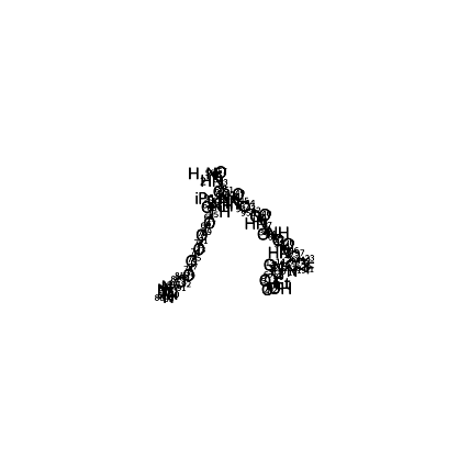 CC[C@@]1(O)C(=O)OCc2c1cc1n(c2=O)Cc2c-1nc1cc(F)c(C)c3c1c2[C@@H](NC(=O)COCNC(=O)CNC(=O)OCc1ccc(NC(=O)[C@H](CCCNC(N)=O)NC(=O)[C@@H](NC(=O)CCOCCOCCOCCOCCOc2ccc(-c4nnc(C)nn4)cc2)C(C)C)cc1)CC3